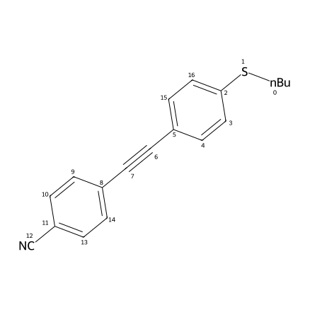 CCCCSc1ccc(C#Cc2ccc(C#N)cc2)cc1